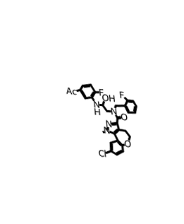 CC(=O)c1ccc(F)c(NC(O)CN(Cc2ccccc2F)C(=O)c2nn(C)c3c2CCOc2ccc(Cl)cc2-3)c1